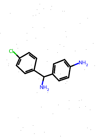 Nc1ccc(C(N)c2ccc(Cl)cc2)cc1